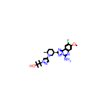 COc1cc2nc(N)n3nc([C@@H]4CC[C@H](C)N(c5cnn(C(C)(C)C(C)(C)O)c5)C4)nc3c2cc1F